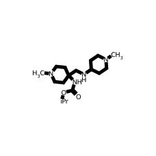 CC(C)OC(=O)NC1(CNC2CCN(C)CC2)CCN(C)CC1